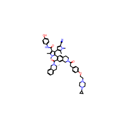 Cc1c(-c2c(C(=O)Nc3ccc(O)cc3)c(C)n(C)c2-c2cc3c(cc2C(=O)N2Cc4ccccc4C[C@H]2C)CN(C(=O)Cc2ccc(OCCN4CCN(C5CC5)CC4)cc2)CC3)cc(C#N)n1C